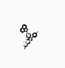 CN(C)C[C@H](O)CN1CN(c2ccc(F)cc2)C2(CCN(C3Cc4cccc5cccc3c45)CC2)C1=O